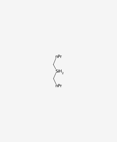 CCCC[SiH2]CCCC